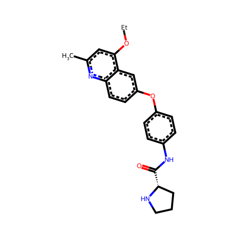 CCOc1cc(C)nc2ccc(Oc3ccc(NC(=O)[C@@H]4CCCN4)cc3)cc12